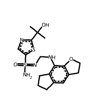 CC(C)(O)c1ncc(S(N)(=O)=NCNc2c3c(cc4c2OCC4)CCC3)s1